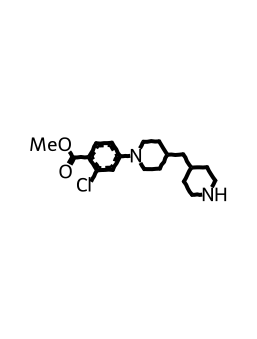 COC(=O)c1ccc(N2CCC(CC3CCNCC3)CC2)cc1Cl